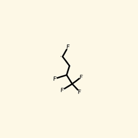 F[CH]CC(F)C(F)(F)F